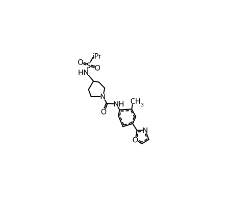 Cc1cc(-c2ncco2)ccc1NC(=O)N1CCC(NS(=O)(=O)C(C)C)CC1